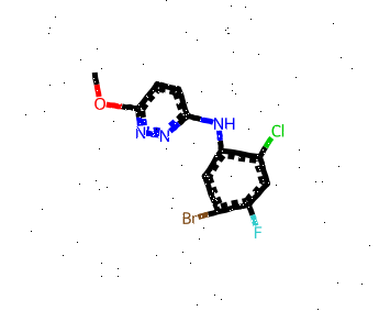 COc1ccc(Nc2cc(Br)c(F)cc2Cl)nn1